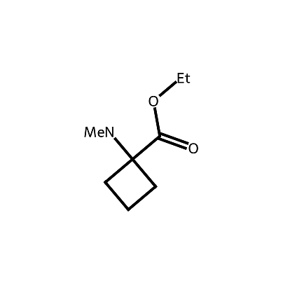 CCOC(=O)C1(NC)CCC1